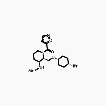 CSN[C@H]1CCCN(C(=O)c2ccno2)[C@H]1CO[C@H]1CC[C@@H](C(C)C)CC1